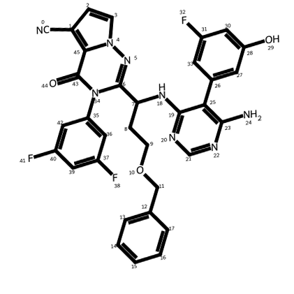 N#Cc1ccn2nc(C(CCOCc3ccccc3)Nc3ncnc(N)c3-c3cc(O)cc(F)c3)n(-c3cc(F)cc(F)c3)c(=O)c12